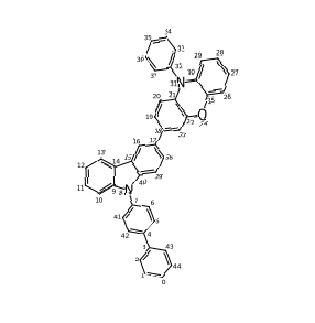 c1ccc(-c2ccc(-n3c4ccccc4c4cc(-c5ccc6c(c5)Oc5ccccc5N6c5ccccc5)ccc43)cc2)cc1